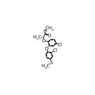 COC(=O)[C@H](C)Oc1ccc(Cl)cc1Oc1ccc(SC)cc1Cl